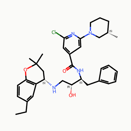 CCc1ccc2c(c1)[C@@H](NC[C@@H](O)[C@H](Cc1ccccc1)NC(=O)c1cc(Cl)nc(N3CCC[C@H](C)C3)c1)CC(C)(C)O2